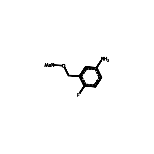 CNOCc1cc(N)ccc1F